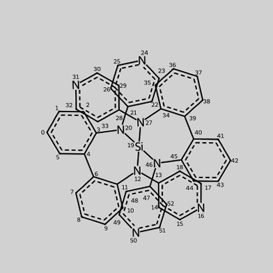 c1ccc2c(c1)-c1ccccc1N(c1ccncc1)[Si]1(N2c2ccncc2)N(c2ccncc2)c2ccccc2-c2ccccc2N1c1ccncc1